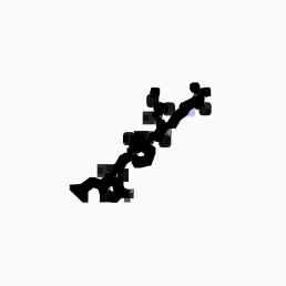 COC(=O)N[C@@H](CC/C=C/C(=O)N(C)C)C(=O)Nc1cccn(Cc2nc3c(F)cnc(CC4CC4)c3[nH]2)c1=O